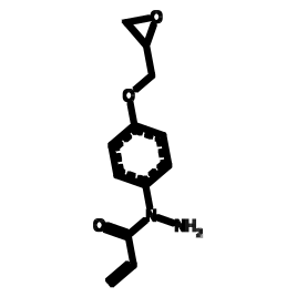 C=CC(=O)N(N)c1ccc(OCC2CO2)cc1